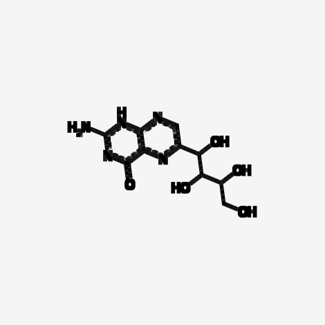 Nc1nc(=O)c2nc(C(O)C(O)C(O)CO)cnc2[nH]1